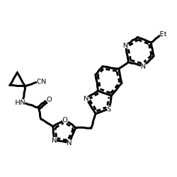 CCc1cnc(-c2ccc3nc(Cc4nnc(CC(=O)NC5(C#N)CC5)o4)sc3c2)nc1